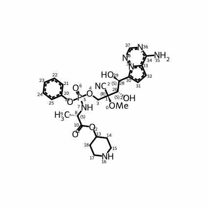 CO[C@](C#N)(COP(=O)(N[C@@H](C)C(=O)OC1CCNCC1)Oc1ccccc1)[C@@H](O)[C@@H](O)c1ccc2c(N)ncnn12